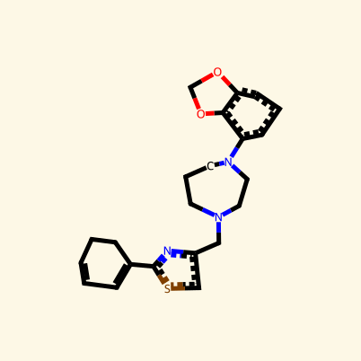 C1=CCCC(c2nc(CN3CCCN(c4cccc5c4OCO5)CC3)cs2)=C1